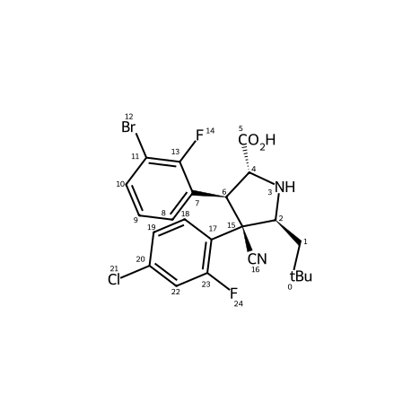 CC(C)(C)C[C@@H]1N[C@@H](C(=O)O)[C@H](c2cccc(Br)c2F)[C@@]1(C#N)c1ccc(Cl)cc1F